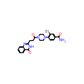 CCc1cc(C(N)=O)ccc1N1CCN(C(=O)CCc2nc3ccccc3c(=O)[nH]2)CC1